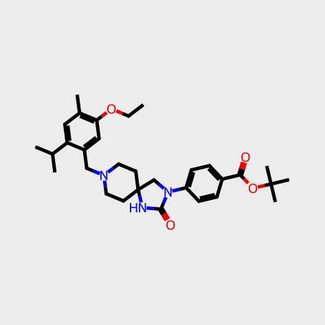 CCOc1cc(CN2CCC3(CC2)CN(c2ccc(C(=O)OC(C)(C)C)cc2)C(=O)N3)c(C(C)C)cc1C